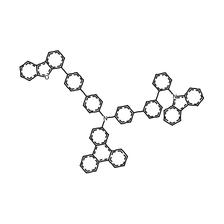 c1cc(-c2ccc(N(c3ccc(-c4ccc(-c5cccc6c5oc5ccccc56)cc4)cc3)c3ccc4c5ccccc5c5ccccc5c4c3)cc2)cc(-c2ccccc2-n2c3ccccc3c3ccccc32)c1